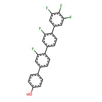 Oc1ccc(-c2ccc(-c3ccc(-c4cc(F)c(F)c(F)c4)c(F)c3)c(F)c2)cc1